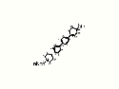 CCCCCCCCC[C@H]1CC[C@H](c2ccc(-c3ccc(C4=CCC(CCC)CC4)cc3)cc2)CC1